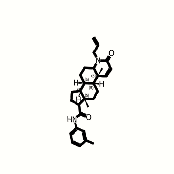 C=CCN1C(=O)C=C[C@@]2(C)C1CC[C@@H]1[C@H]2CC[C@]2(C)C(C(=O)Nc3cccc(C)c3)CC[C@@H]12